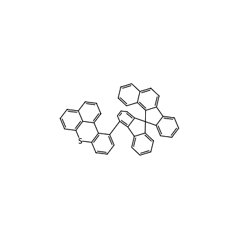 c1ccc2c(c1)-c1ccc3ccccc3c1C21c2ccccc2-c2c(-c3cccc4c3-c3cccc5cccc(c35)S4)cccc21